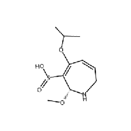 CO[C@H]1NCC=CC(OC(C)C)=C1S(=O)O